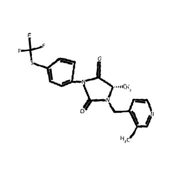 Cc1cnccc1CN1C(=O)N(c2ccc(SC(F)(F)F)cc2)C(=O)[C@@H]1C